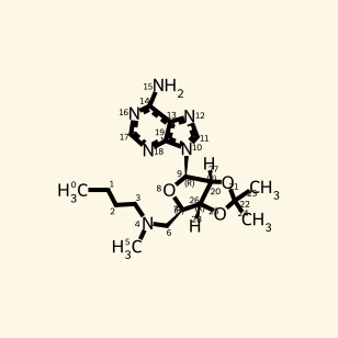 CCCCN(C)C[C@H]1O[C@@H](n2cnc3c(N)ncnc32)[C@@H]2OC(C)(C)O[C@@H]21